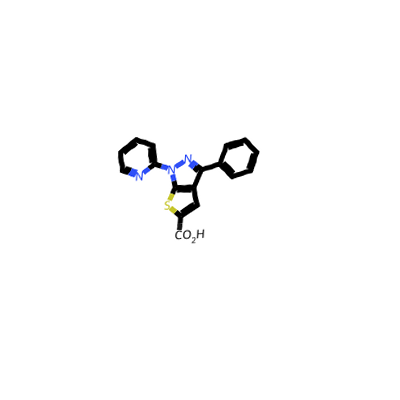 O=C(O)c1cc2c(-c3ccccc3)nn(-c3ccccn3)c2s1